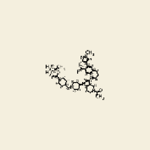 CC(=O)N1CCc2c(c(N3CCCc4cc(-c5cnn(C)c5)c(C(F)F)cc43)nn2C2CCN(CC3CCN(C(=O)OC(C)(C)C)CC3)CC2)C1